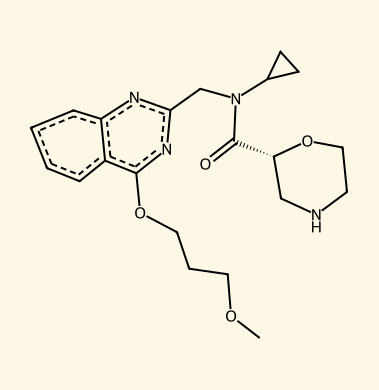 COCCCOc1nc(CN(C(=O)[C@H]2CNCCO2)C2CC2)nc2ccccc12